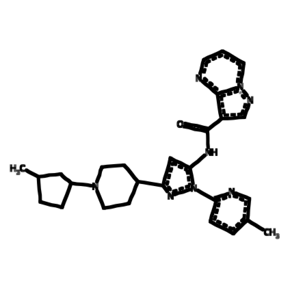 Cc1ccc(-n2nc(C3CCN(C4CCC(C)C4)CC3)cc2NC(=O)c2cnn3cccnc23)nc1